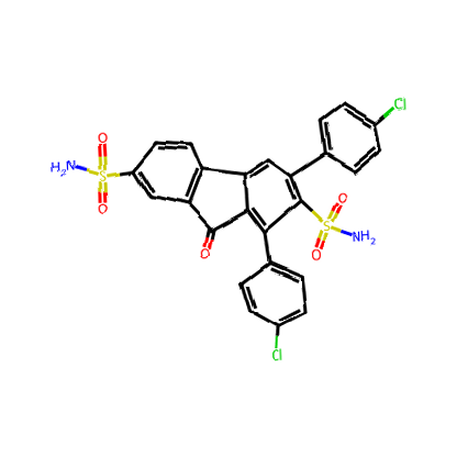 NS(=O)(=O)c1ccc2c(c1)C(=O)c1c-2cc(-c2ccc(Cl)cc2)c(S(N)(=O)=O)c1-c1ccc(Cl)cc1